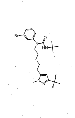 Cn1nc(C(C)(F)F)cc1CCCCCN(C(=O)NC(C)(C)C)c1cccc(Br)c1